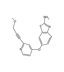 COCC#Cc1cc(Oc2ccc3nc(N)sc3c2)ccn1